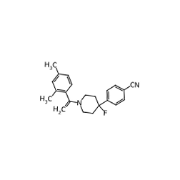 C=C(c1ccc(C)cc1C)N1CCC(F)(c2ccc(C#N)cc2)CC1